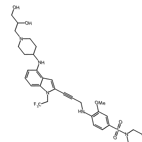 COc1cc(S(=O)(=O)N2CCN(C)CC2)ccc1NCC#Cc1cc2c(NC3CCN(CC(O)CO)CC3)cccc2n1CC(F)(F)F